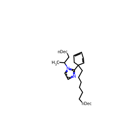 CCCCCCCCCCCCCCCCC1(c2nccn2C(C)CCCCCCCCCCC)C=CC=CC1